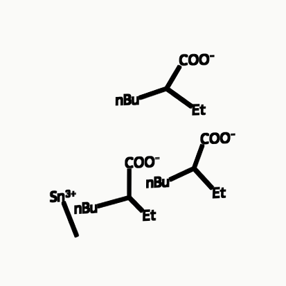 CCCCC(CC)C(=O)[O-].CCCCC(CC)C(=O)[O-].CCCCC(CC)C(=O)[O-].[CH3][Sn+3]